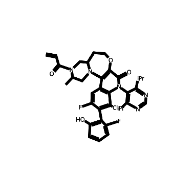 C=CC(=O)N1CC2CCOc3c(c4cc(F)c(-c5c(O)cccc5F)c(Cl)c4n(-c4c(C(C)C)ncnc4C(C)C)c3=O)N2CC1C